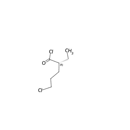 CC[C@H](CCCCl)C(=O)Cl